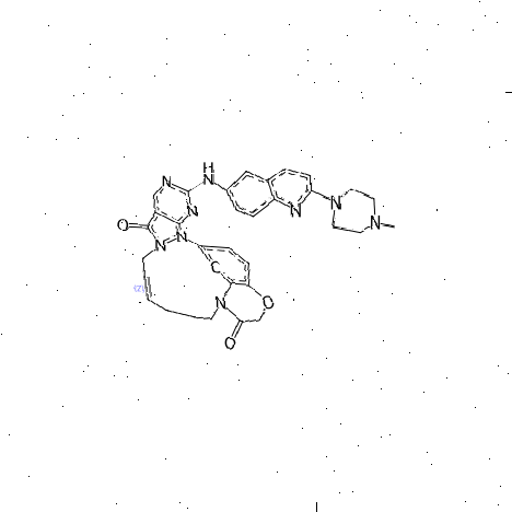 CN1CCN(c2ccc3cc(Nc4ncc5c(=O)n6n(c5n4)-c4ccc5c(c4)N(CCC/C=C\C6)C(=O)CO5)ccc3n2)CC1